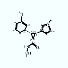 Cn1cc([C@H]2[C@H](C(=O)NO)[C@@H]2C2C=C(Cl)C=CC2)cn1